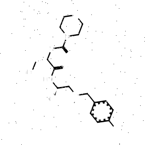 CC(C)C[C@H](NC(=O)N1CCOCC1)C(=O)N[C@H](C#N)COCc1ccc(Cl)cc1